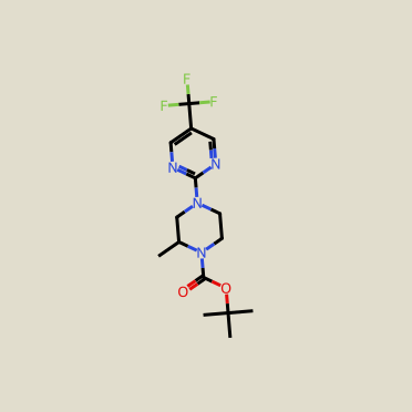 CC1CN(c2ncc(C(F)(F)F)cn2)CCN1C(=O)OC(C)(C)C